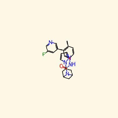 Cc1ccc(NC(=O)N2C3CC2CC(n2cccn2)C3)cc1-c1cncc(F)c1